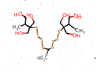 CC(CO)C(CO)(CO)SSSSC(SSSSC(CO)(CO)C(C)CO)C(=O)O